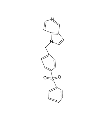 O=S(=O)(c1ccccc1)c1ccc(Cn2ccc3cnccc32)cc1